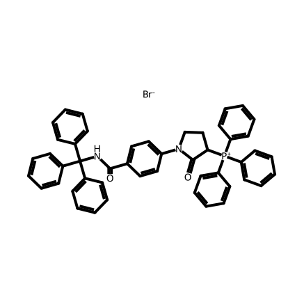 O=C(NC(c1ccccc1)(c1ccccc1)c1ccccc1)c1ccc(N2CCC([P+](c3ccccc3)(c3ccccc3)c3ccccc3)C2=O)cc1.[Br-]